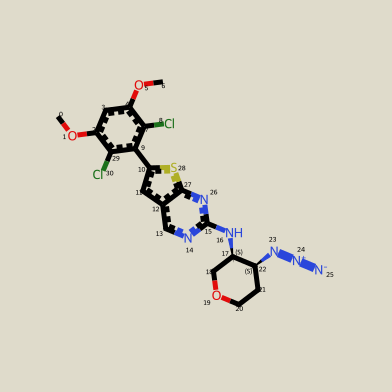 COc1cc(OC)c(Cl)c(-c2cc3cnc(N[C@@H]4COCC[C@@H]4N=[N+]=[N-])nc3s2)c1Cl